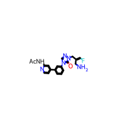 CC(=O)Nc1cc(-c2cccc(-n3cnn(C/C(=C/F)CN)c3=O)c2)ccn1